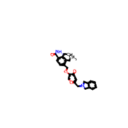 CCc1c(COc2coc(CN3Cc4ccccc4C3)cc2=O)ccc(C(N)=O)c1CC